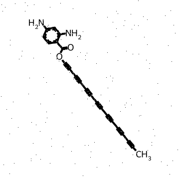 CC#CC#CC#CC#CC#CC#CC#COC(=O)c1ccc(N)cc1N